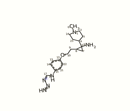 CN1CCC(C2(N)CC2CCOc2ccc(N/C=N\N=N)cc2)CC1